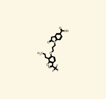 CCCc1c(OCCCN2C(=O)Cc3cc(C(=O)O)ccc32)ccc2c(C(F)(F)F)noc12